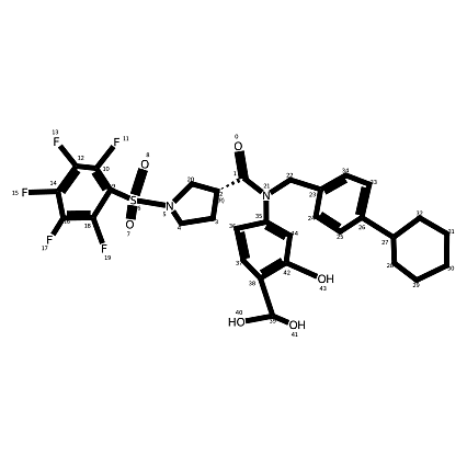 O=C([C@@H]1CCN(S(=O)(=O)c2c(F)c(F)c(F)c(F)c2F)C1)N(Cc1ccc(C2CCCCC2)cc1)c1ccc(C(O)O)c(O)c1